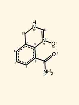 NC(=O)c1cccc2c1[N+]([O-])=CNC2